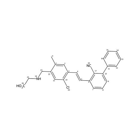 Cc1cc(C=Cc2cccc(-c3ccccc3)c2C#N)c(Cl)cc1CNCC(=O)O